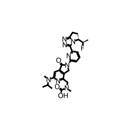 CC(C)N(C)c1cc2c(c(CN(C)C(=O)O)n1)CN(c1cccc(-c3nnc4n3[C@@H]([C@@H](C)F)CC4)n1)C2=O